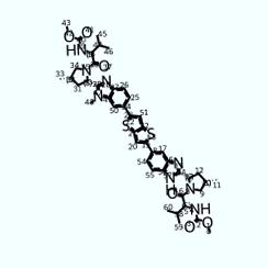 COC(=O)N[C@H](C(=O)N1C[C@@H](C)C[C@H]1c1nc2cc(-c3cc4sc(-c5ccc6nc([C@@H]7C[C@H](C)CN7C(=O)[C@@H](NC(=O)OC)C(C)C)n(C)c6c5)cc4s3)ccc2[nH]1)C(C)C